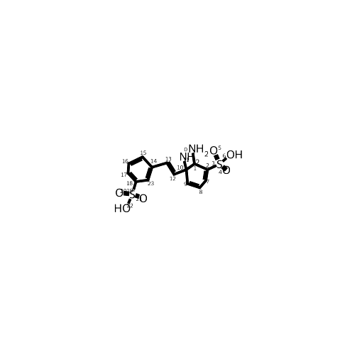 NC1C(S(=O)(=O)O)=CC=CC1(N)C=Cc1cccc(S(=O)(=O)O)c1